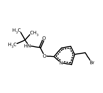 CC(C)(C)NC(=O)Oc1ccc(CBr)cn1